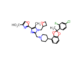 Cc1c(-c2nc(C(=O)O)co2)nc(CN2CCC(c3cccc4c3OC(C)(c3ccc(Cl)cc3F)O4)CC2)n1CC1CCO1